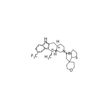 C[C@H]1c2c([nH]c3ccc(C(F)(F)F)cc23)C[C@H]2CCN(CCC3(C4NCCS4)CCOCC3)C[C@@H]21